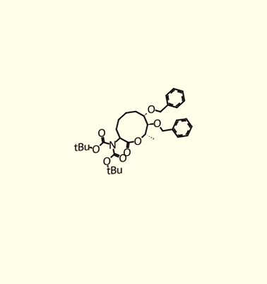 C[C@@H]1OC(=O)C(N(C(=O)OC(C)(C)C)C(=O)OC(C)(C)C)CCCC[C@H](OCc2ccccc2)[C@H]1OCc1ccccc1